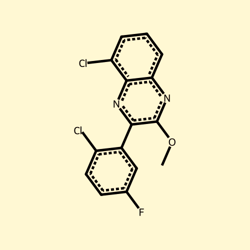 COc1nc2cccc(Cl)c2nc1-c1cc(F)ccc1Cl